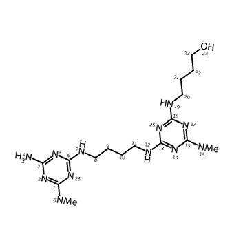 CNc1nc(N)nc(NCCCCNc2nc(NC)nc(NCCCCO)n2)n1